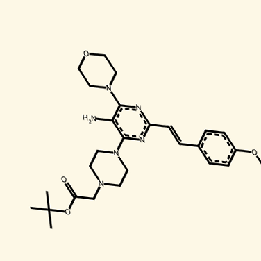 COc1ccc(/C=C/c2nc(N3CCOCC3)c(N)c(N3CCN(CC(=O)OC(C)(C)C)CC3)n2)cc1